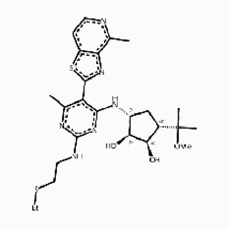 CCSCCNc1nc(C)c(-c2nc3c(C)nccc3s2)c(N[C@@H]2C[C@H](C(C)(C)OC)[C@@H](O)[C@H]2O)n1